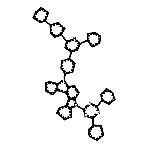 c1ccc(-c2ccc(-c3cc(-c4ccc(-n5c6ccccc6c6c7c8ccccc8n(-c8nc(-c9ccccc9)nc(-c9ccccc9)n8)c7ccc65)cc4)cc(-c4ccccc4)n3)cc2)cc1